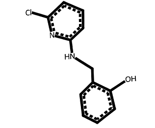 Oc1ccccc1CNc1cccc(Cl)n1